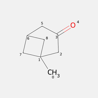 CC12CC(=O)CC(C1)C2